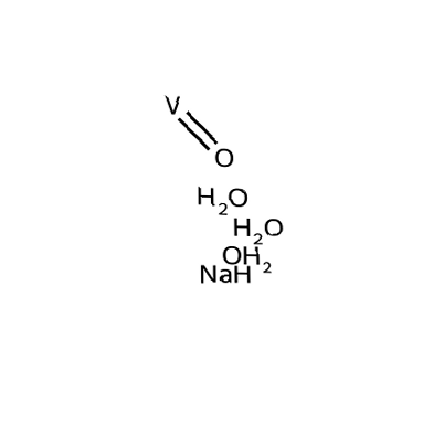 O.O.O.[NaH].[O]=[V]